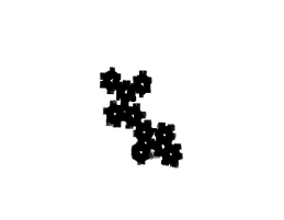 c1ccc(-c2nc(-c3ccccc3)nc(-n3c4ccccc4c4cc(-c5ccc6c(c5)c5ccccc5n6-c5cc6ccccc6c6ccccc56)ccc43)n2)cc1